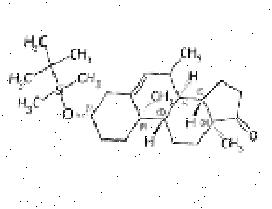 CC1C=C2C[C@@H](O[Si](C)(C)C(C)(C)C)CC[C@]2(C)[C@H]2CC[C@]3(C)C(=O)CC[C@H]3[C@H]12